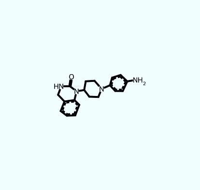 Nc1ccc(N2CCC(N3C(=O)NCc4ccccc43)CC2)cc1